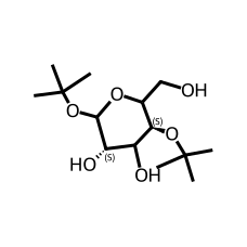 CC(C)(C)OC1OC(CO)[C@@H](OC(C)(C)C)C(O)[C@@H]1O